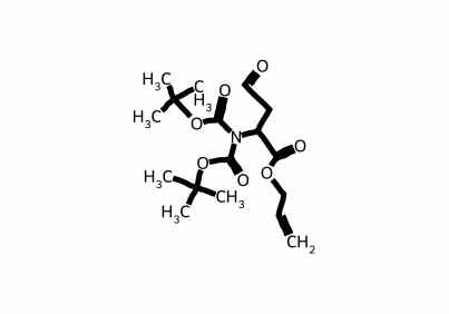 C=CCOC(=O)C(CC=O)N(C(=O)OC(C)(C)C)C(=O)OC(C)(C)C